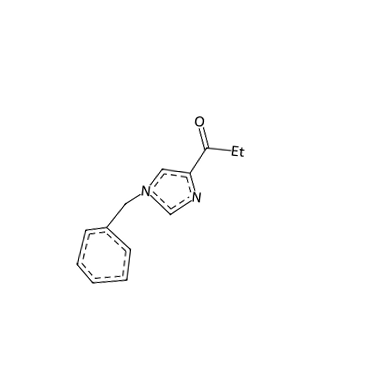 CCC(=O)c1cn(Cc2ccccc2)cn1